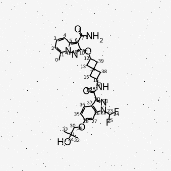 Cc1cccc2c(C(N)=O)c(OC3CC4(CC(NC(=O)c5nn(C(F)F)c6cc(OCC(C)(C)O)ccc56)C4)C3)nn12